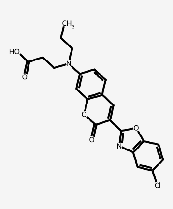 CCCN(CCC(=O)O)c1ccc2cc(-c3nc4cc(Cl)ccc4o3)c(=O)oc2c1